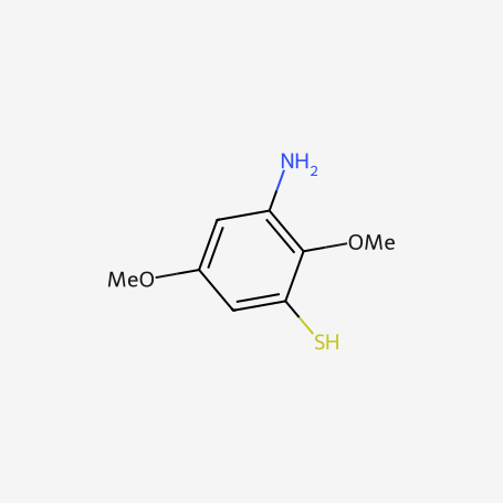 COc1cc(N)c(OC)c(S)c1